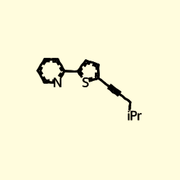 CC(C)CC#Cc1ccc(-c2ccccn2)s1